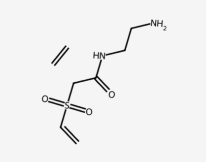 C=C.C=CS(=O)(=O)CC(=O)NCCN